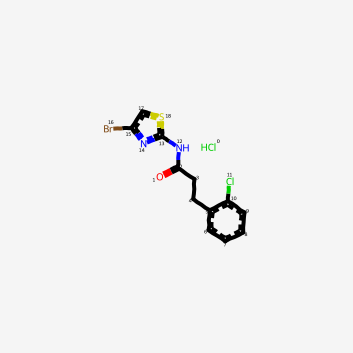 Cl.O=C(CCc1ccccc1Cl)Nc1nc(Br)cs1